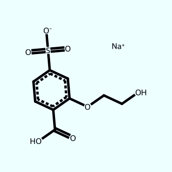 O=C(O)c1ccc(S(=O)(=O)[O-])cc1OCCO.[Na+]